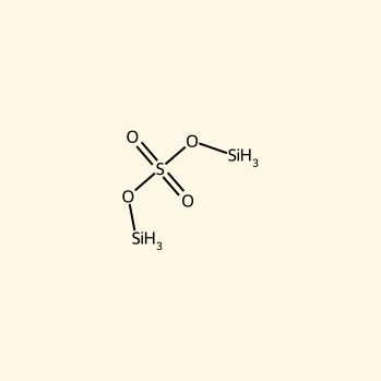 O=S(=O)(O[SiH3])O[SiH3]